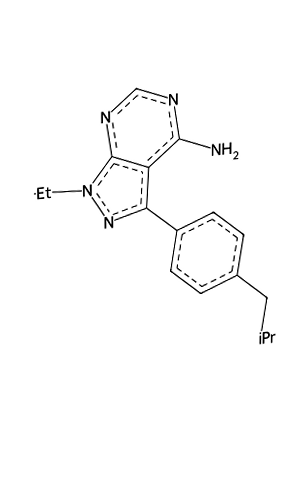 C[CH]n1nc(-c2ccc(CC(C)C)cc2)c2c(N)ncnc21